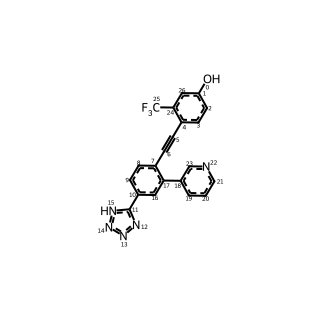 Oc1ccc(C#Cc2ccc(-c3nnn[nH]3)cc2-c2cccnc2)c(C(F)(F)F)c1